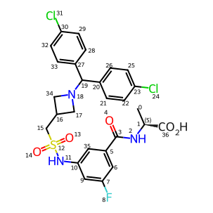 C[C@H](NC(=O)c1cc(F)cc(NS(=O)(=O)CC2CN(C(c3ccc(Cl)cc3)c3ccc(Cl)cc3)C2)c1)C(=O)O